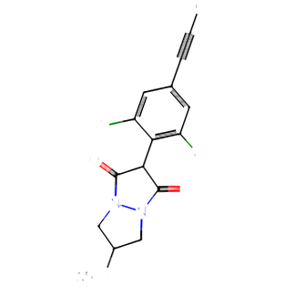 CC#Cc1cc(Cl)c(C2C(=O)N3CC(OC)CN3C2=O)c(Cl)c1